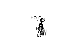 CCNC(=O)Nc1nc2cc(-c3cncc(C(=O)O)c3)ccc2[nH]1